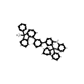 CC1(c2ccccc2)c2ccccc2-c2c(-c3cccc(-c4ccc5c(c4)C(c4ccccc4)(c4ccccc4)c4ccccc4O5)c3)cccc21